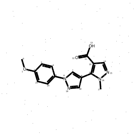 COc1ccc(-n2cc(-c3c(C(=O)O)cnn3C)cn2)cc1